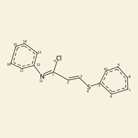 ClC(C=CSc1ccccc1)=Nc1ccccc1